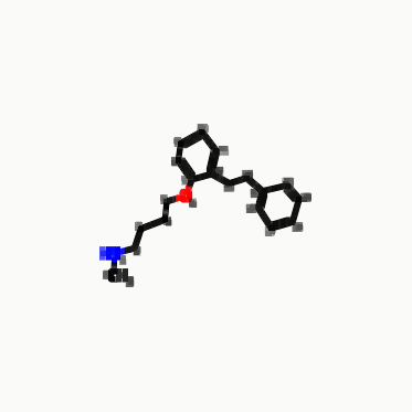 CNCCCCOc1ccccc1CCc1ccccc1